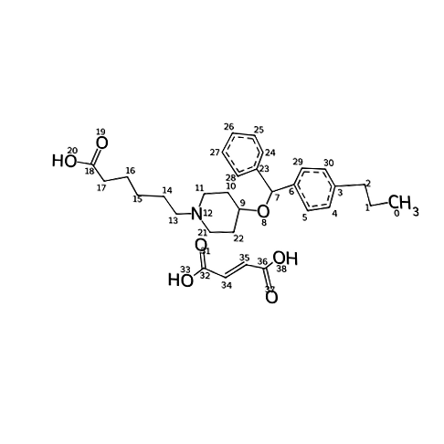 CCCc1ccc(C(OC2CCN(CCCCCC(=O)O)CC2)c2ccccc2)cc1.O=C(O)C=CC(=O)O